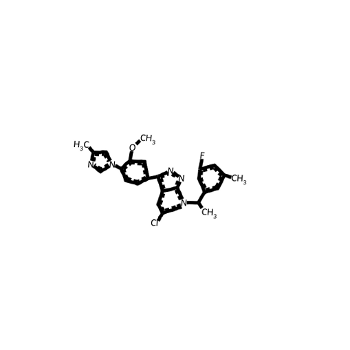 COc1cc(-c2nnc3n(C(C)c4cc(C)cc(F)c4)cc(Cl)cc2-3)ccc1-n1cnc(C)c1